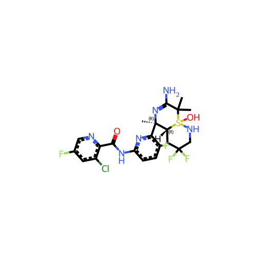 CC1(C)C(N)=N[C@](C)(c2nc(NC(=O)c3ncc(F)cc3Cl)ccc2F)[C@H]2CC(F)(F)CNS21O